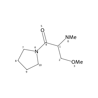 CNC(COC)C(=O)N1CCCC1